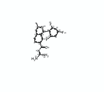 Cc1cc2ccc(C(=O)N=C(N)N)cc2c(-c2c(F)cc(F)cc2F)n1